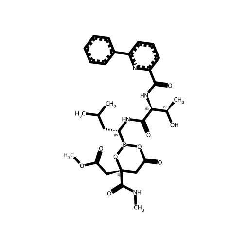 CNC(=O)[C@@]1(CC(=O)OC)CC(=O)OB([C@H](CC(C)C)NC(=O)[C@@H](NC(=O)c2cccc(-c3ccccc3)n2)[C@@H](C)O)O1